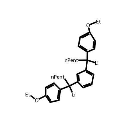 [Li][C](CCCCC)(c1ccc(OCC)cc1)c1cccc([C]([Li])(CCCCC)c2ccc(OCC)cc2)c1